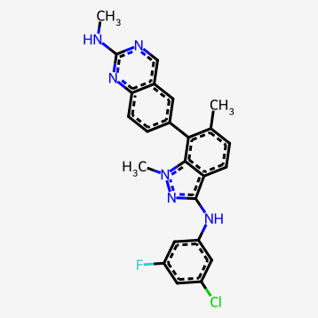 CNc1ncc2cc(-c3c(C)ccc4c(Nc5cc(F)cc(Cl)c5)nn(C)c34)ccc2n1